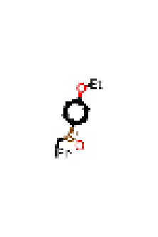 CCOc1ccc([S+]([O-])C[C](C)C)cc1